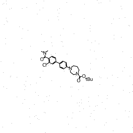 CN(C)C(=O)c1ccc(-c2ccc(N3CCCN(C(=O)OC(C)(C)C)CC3)cc2)cc1Cl